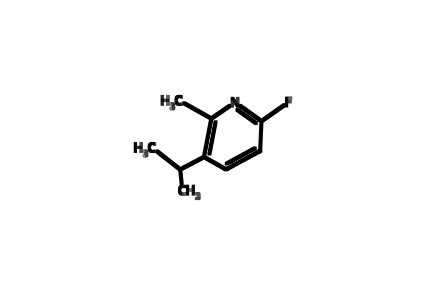 Cc1nc(F)ccc1C(C)C